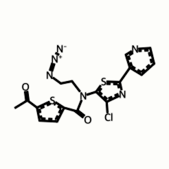 CC(=O)c1ccc(C(=O)N(CCN=[N+]=[N-])c2sc(-c3cccnc3)nc2Cl)s1